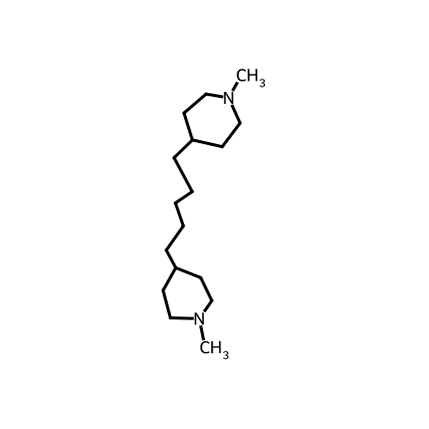 CN1CCC(CCCCCC2CCN(C)CC2)CC1